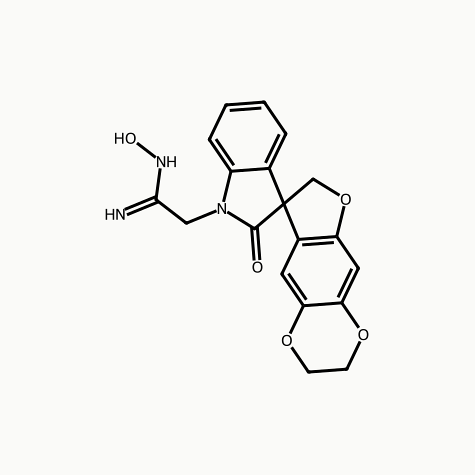 N=C(CN1C(=O)C2(COc3cc4c(cc32)OCCO4)c2ccccc21)NO